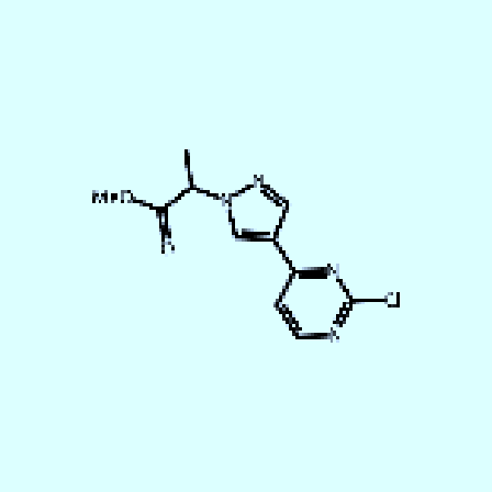 COC(=O)C(C)n1cc(-c2ccnc(Cl)n2)cn1